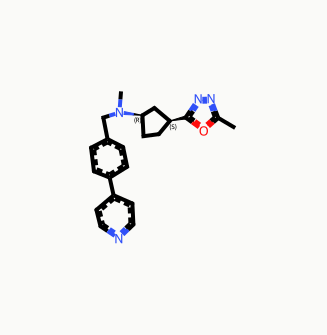 Cc1nnc([C@H]2CC[C@@H](N(C)Cc3ccc(-c4ccncc4)cc3)C2)o1